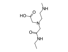 CCNC(=O)CN(CCNC)CC(=O)O